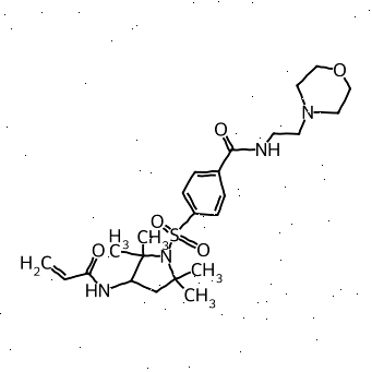 C=CC(=O)NC1CC(C)(C)N(S(=O)(=O)c2ccc(C(=O)NCCN3CCOCC3)cc2)C1(C)C